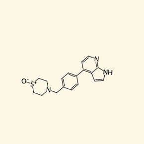 [O-][S+]1CCN(Cc2ccc(-c3ccnc4[nH]ccc34)cc2)CC1